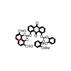 COc1ccccc1OP(Oc1ccccc1OC)Oc1cccc2c1C(=O)c1c(OP(Oc3ccccc3C=O)Oc3ccccc3C=O)cccc1C2=O